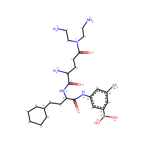 NCCN(CCN)C(=O)CCC(N)C(=O)NC(CCC1CCCCC1)C(=O)Nc1cc(B(O)O)cc(C(F)(F)F)c1